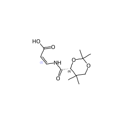 CC1(C)OCC(C)(C)[C@H](C(=O)N/C=C\C(=O)O)O1